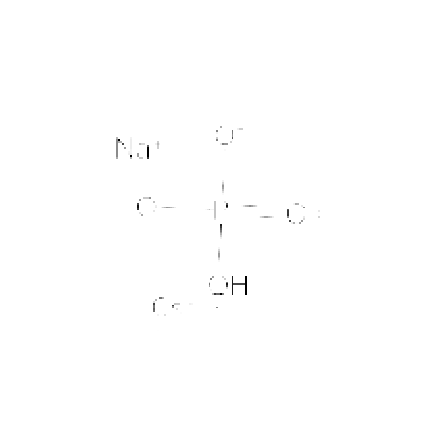 O=P([O-])([O-])O.[Cs+].[Na+]